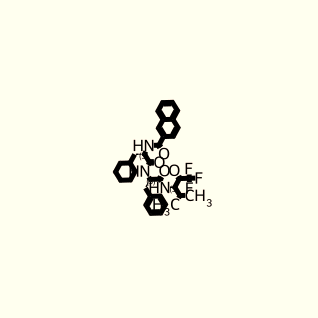 CC(C)[C@H](NC(=O)[C@H](Cc1ccccc1)NC(=O)[C@H](CC1CCCCC1)NC(=O)c1ccc2ccccc2c1)C(=O)C(F)(F)F